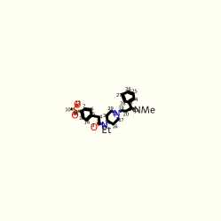 CCN(C(=O)Cc1ccc(S(C)(=O)=O)cc1)C1CCN(CCC(NC)c2ccccc2)CC1